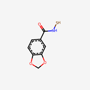 O=C(NS)c1ccc2c(c1)OCO2